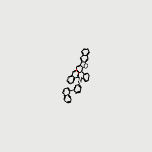 c1cc(-c2cccc3ccccc23)cc(N(c2ccccc2-c2cccc3c2oc2cc4ccccc4cc23)c2cccc3ccccc23)c1